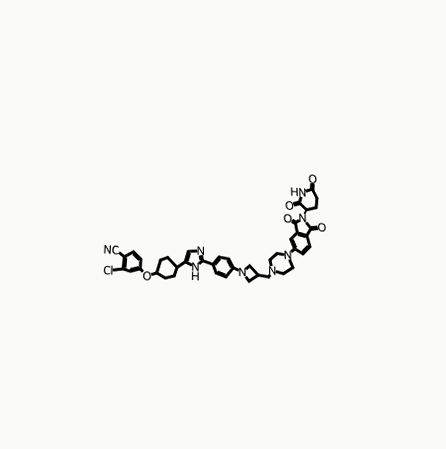 N#Cc1ccc(OC2CCC(c3cnc(-c4ccc(N5CC(CN6CCN(c7ccc8c(c7)C(=O)N([C@@H]7CCC(=O)NC7=O)C8=O)CC6)C5)cc4)[nH]3)CC2)cc1Cl